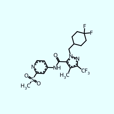 Cc1c(C(F)(F)F)nn(CC2CCC(F)(F)CC2)c1C(=O)Nc1ccnc(S(C)(=O)=O)c1